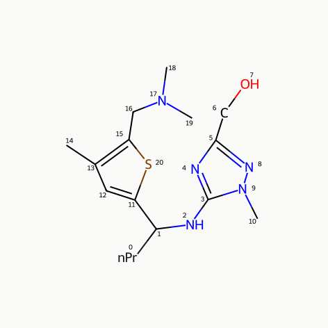 CCCC(Nc1nc(CO)nn1C)c1cc(C)c(CN(C)C)s1